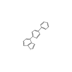 [CH]1C=Cc2c1cccc2-c1ccc(-c2ccccc2)cc1